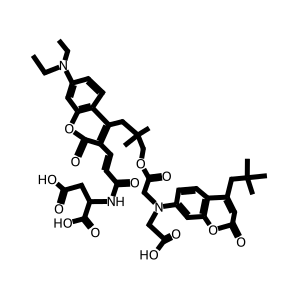 CCN(CC)c1ccc2c(CC(C)(C)COC(=O)CN(CC(=O)O)c3ccc4c(CC(C)(C)C)cc(=O)oc4c3)c(/C=C/C(=O)NC(CC(=O)O)C(=O)O)c(=O)oc2c1